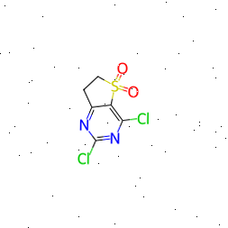 O=S1(=O)CCc2nc(Cl)nc(Cl)c21